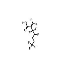 O=C(O)C(=C(F)F)C(F)(F)C(F)CCC(F)(F)F